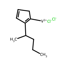 CCCC(C)C1=[C]([V+2])CC=C1.[Cl-].[Cl-]